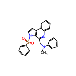 CN(Cc1nc2ccccc2c2ccn(S(=O)(=O)c3ccccc3)c12)c1ccccc1